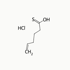 C=CCCCC(O)=S.Cl